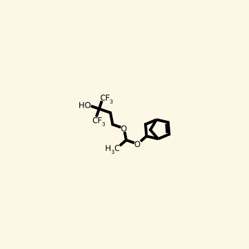 CC(OCCC(O)(C(F)(F)F)C(F)(F)F)OC1CC2C=CC1C2